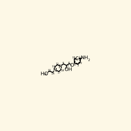 Nc1ccc(OCC(O)CN2CCN(CCO)CC2)cc1